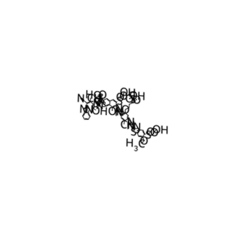 COc1cc2sc(N=Nc3cc(OCCCS(=O)(=O)O)c(N=Nc4c(SOOO)cc5cc(S(=O)(=O)O)c(N=Nc6c(C)c(C#N)c7nc8ccccc8n7c6O)cc5c4O)cc3C)nc2cc1SOOO